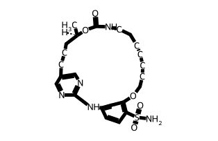 C[C@@H]1CCCc2cnc(nc2)Nc2ccc(S(N)(=O)=O)c(c2)OCCCCCCCNC(=O)O1